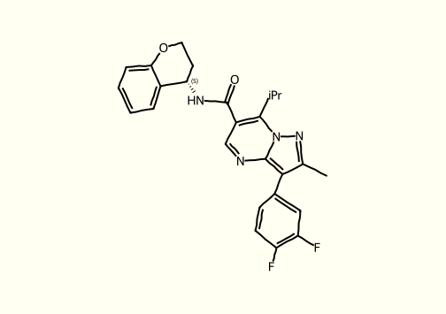 Cc1nn2c(C(C)C)c(C(=O)N[C@H]3CCOc4ccccc43)cnc2c1-c1ccc(F)c(F)c1